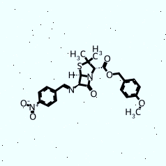 COc1ccc(COC(=O)[C@@H]2N3C(=O)[C@@H](N=Cc4ccc([N+](=O)[O-])cc4)[C@H]3SC2(C)C)cc1